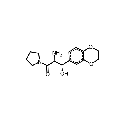 N[C@H](C(=O)N1CCCC1)[C@H](O)c1ccc2c(c1)OCCO2